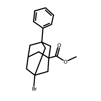 COC(=O)C12CC3CC(Br)(C1)CC(c1ccccc1)(C3)C2